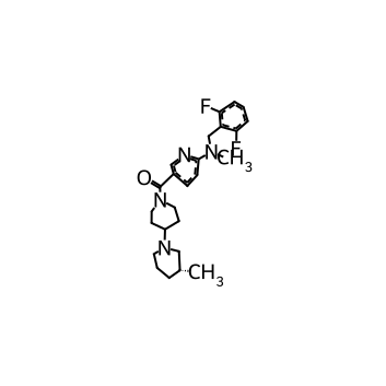 C[C@@H]1CCCN(C2CCN(C(=O)c3ccc(N(C)Cc4c(F)cccc4F)nc3)CC2)C1